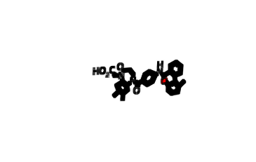 Cc1cc2c(cc1C)N(C(=O)c1ccc(NC(=O)c3ccccc3-c3c(C)cccc3C)cc1)CCC(=O)N2CC(=O)O